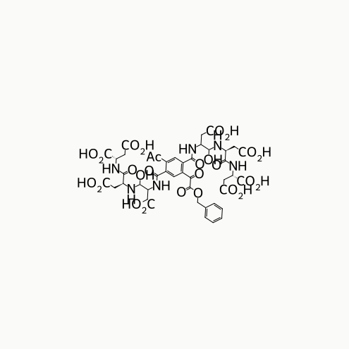 CC(=O)c1cc(C(=O)NC(CC(=O)O)C(O)N[C@@H](CC(=O)O)C(=O)N[C@@H](CC(=O)O)C(=O)O)c(C(=O)C(=O)OCc2ccccc2)cc1C(=O)NC(CC(=O)O)C(O)N[C@@H](CC(=O)O)C(=O)N[C@@H](CC(=O)O)C(=O)O